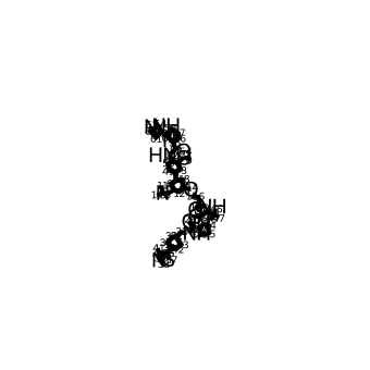 COc1cc(-c2cc(CN(C)C)cc(OCCC(=O)N[C@H](C(=O)N3CCC[C@H]3C(=O)NCc3ccc(-c4scnc4C)cc3)C(C)(C)C)c2)ccc1NC(=O)c1cccc(-c2ccn[nH]2)n1